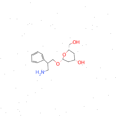 NCC(CO[C@H]1C[C@@H](O)C[C@@H](CO)O1)c1ccccc1